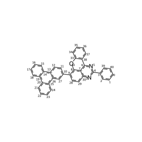 c1ccc(-c2nc3c4c(c(-c5ccc6c7ccccc7c7ccccc7c6c5)ccc4n2)Oc2ccccc2-3)cc1